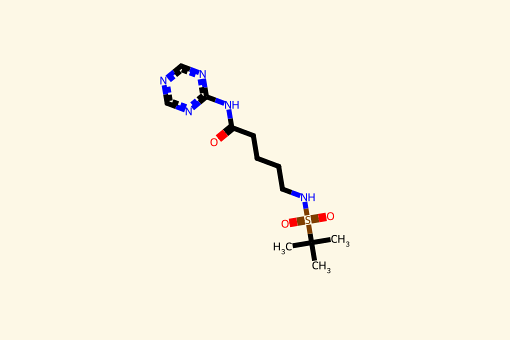 CC(C)(C)S(=O)(=O)NCCCCC(=O)Nc1ncncn1